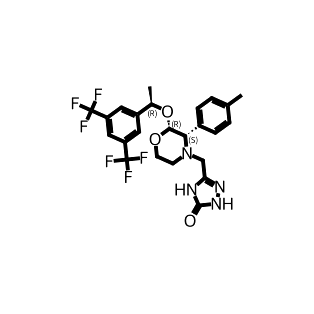 Cc1ccc([C@H]2[C@@H](O[C@H](C)c3cc(C(F)(F)F)cc(C(F)(F)F)c3)OCCN2Cc2n[nH]c(=O)[nH]2)cc1